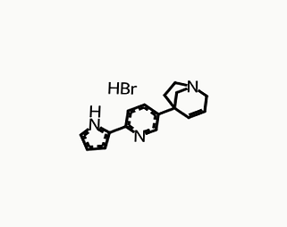 Br.C1=CC2(c3ccc(-c4ccc[nH]4)nc3)CCN(C1)C2